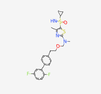 Cc1nc(N(C)COCCc2ccc(-c3cc(F)ccc3F)cc2)sc1S(=N)(=O)C1CC1